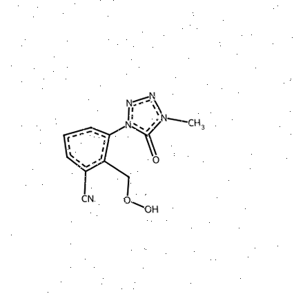 Cn1nnn(-c2cccc(C#N)c2COO)c1=O